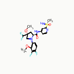 COc1c(N2C[C@@](OC)(C(F)F)C[C@H]2C(=O)Nc2ccnc([S@](C)(=N)=O)c2)ccc(F)c1F